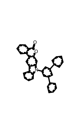 O=c1oc2cc3c(cc2c2ccccc12)c1ccccc1n3-c1cc(-c2ccccc2)cc(-c2ccccc2)c1